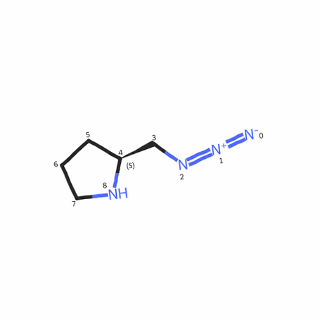 [N-]=[N+]=NC[C@@H]1CCCN1